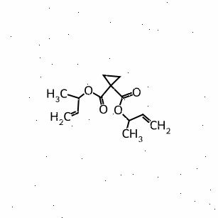 C=CC(C)OC(=O)C1(C(=O)OC(C)C=C)CC1